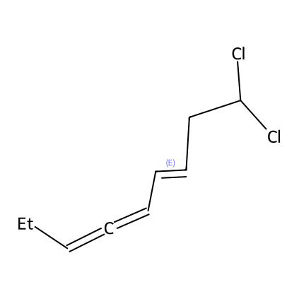 CCC=C=C/C=C/CC(Cl)Cl